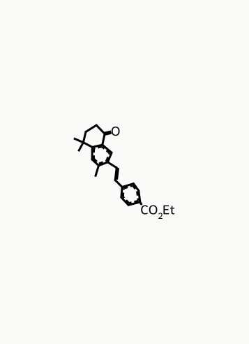 CCOC(=O)c1ccc(C=Cc2cc3c(cc2C)C(C)(C)CCC3=O)cc1